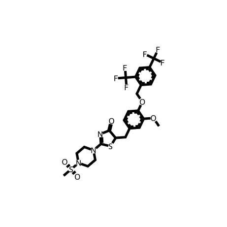 COc1cc(CC2SC(N3CCN(S(C)(=O)=O)CC3)=NC2=O)ccc1OCc1ccc(C(F)(F)F)cc1C(F)(F)F